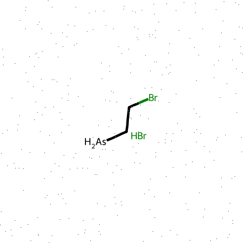 Br.[AsH2]CCBr